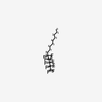 CCCCCCCC[CH]C(F)(F)C(F)(F)C(F)(F)C(F)(F)[C](F)F